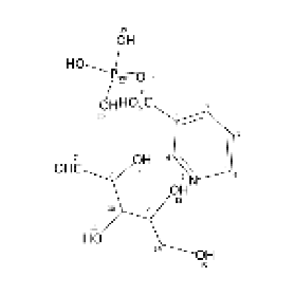 O=C(O)c1cccnc1.O=CC(O)C(O)C(O)CO.O=P(O)(O)O